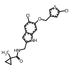 CC1(C(=O)NCc2cc3cc(Cl)c(OCc4csc(Cl)c4)cc3[nH]2)CC1